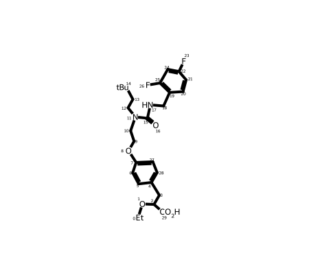 CCOC(Cc1ccc(OCCN(CCC(C)(C)C)C(=O)NCc2ccc(F)cc2F)cc1)C(=O)O